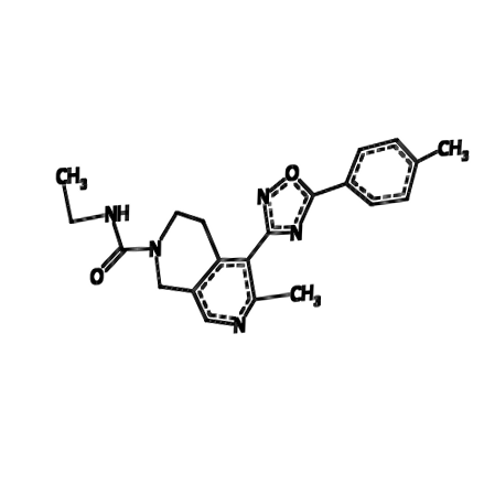 CCNC(=O)N1CCc2c(cnc(C)c2-c2noc(-c3ccc(C)cc3)n2)C1